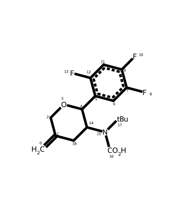 C=C1COC(c2cc(F)c(F)cc2F)C(N(C(=O)O)C(C)(C)C)C1